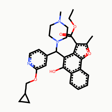 CCOC(=O)c1c(C)oc2c1c(C(c1ccnc(OCC3CC3)c1)N1CCN(C)CC1)c(O)c1ccccc12